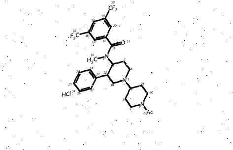 CC(=O)N1CCC(N2CCC(N(C)C(=O)c3cc(C(F)(F)F)cc(C(F)(F)F)c3)C(c3ccccc3)C2)CC1.Cl